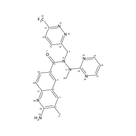 Cc1cc2cc(C(=O)N(Cc3ccc(C(F)(F)F)nn3)N(C)c3ncccn3)ccc2nc1N